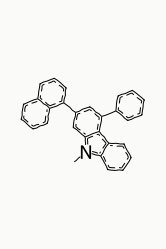 Cn1c2ccccc2c2c(-c3ccccc3)cc(-c3cccc4ccccc34)cc21